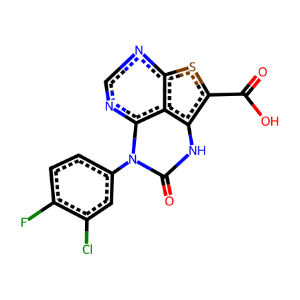 O=C(O)c1sc2ncnc3c2c1NC(=O)N3c1ccc(F)c(Cl)c1